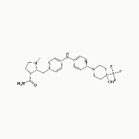 CN1CCC(C(N)=O)C1Cc1ccc(Nc2ccc(N3CCC(O)(C(F)(F)F)CC3)cc2)cc1